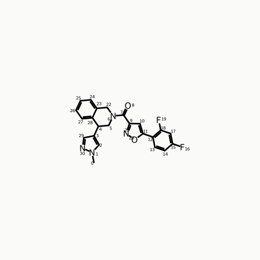 Cn1cc(C2CN(C(=O)c3cc(-c4ccc(F)cc4F)on3)Cc3ccccc32)cn1